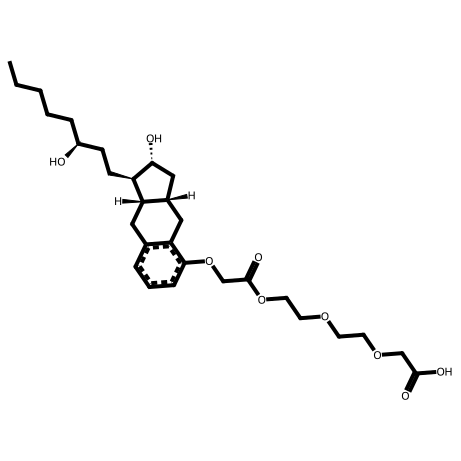 CCCCC[C@H](O)CC[C@@H]1[C@H]2Cc3cccc(OCC(=O)OCCOCCOCC(=O)O)c3C[C@H]2C[C@H]1O